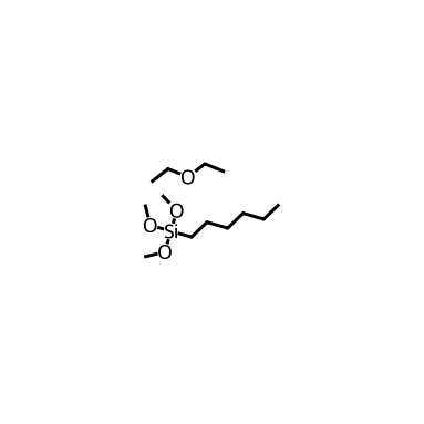 CCCCCC[Si](OC)(OC)OC.CCOCC